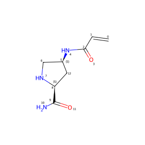 C=CC(=O)N[C@@H]1CN[C@H](C(N)=O)C1